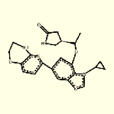 CC(Oc1cc(-c2ccc3c(n2)NCCO3)cc2ncn(C3CC3)c12)[C@H]1CNC(=O)C1